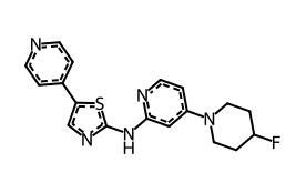 FC1CCN(c2ccnc(Nc3ncc(-c4ccncc4)s3)c2)CC1